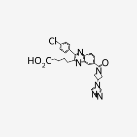 O=C(O)CCCCc1nc2cc(C(=O)N3CC(n4cnnc4)C3)ccc2nc1-c1ccc(Cl)cc1